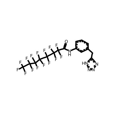 O=C(Nc1cccc(Cc2nnn[nH]2)c1)C(F)(F)C(F)(F)C(F)(F)C(F)(F)C(F)(F)C(F)(F)C(F)(F)F